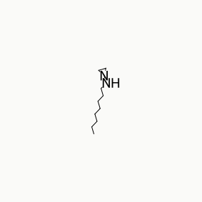 CCCCCCCCNN1CC1